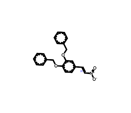 O=[N+]([O-])/C=C/c1ccc(OCc2ccccc2)c(OCc2ccccc2)c1